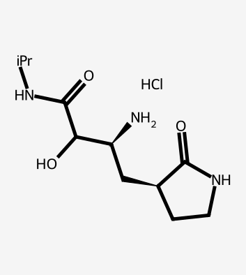 CC(C)NC(=O)C(O)[C@@H](N)C[C@@H]1CCNC1=O.Cl